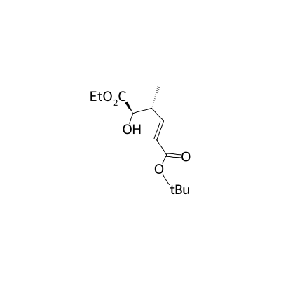 CCOC(=O)[C@H](O)[C@H](C)/C=C/C(=O)OC(C)(C)C